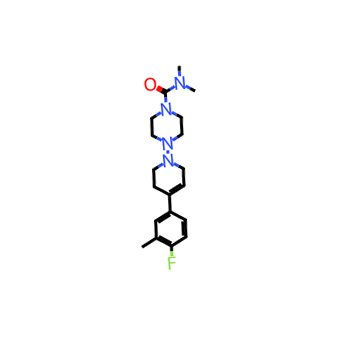 Cc1cc(C2=CCN(N3CCN(C(=O)N(C)C)CC3)CC2)ccc1F